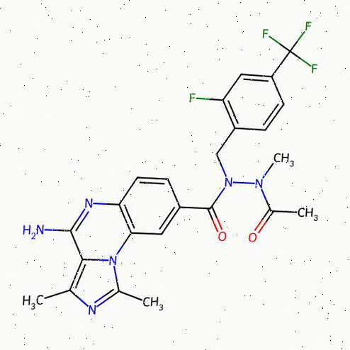 CC(=O)N(C)N(Cc1ccc(C(F)(F)F)cc1F)C(=O)c1ccc2nc(N)c3c(C)nc(C)n3c2c1